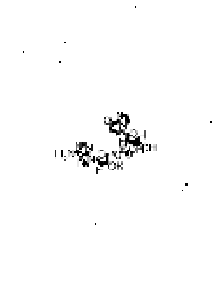 Nc1ncnc2c1ncn2[C@@H]1O[C@H](CO[PH](=O)O[C@H]2[C@H](n3ccc(=O)c4nccn43)O[C@@H]3C(O)[C@@]32O)[C@@H](O)[C@@H]1F